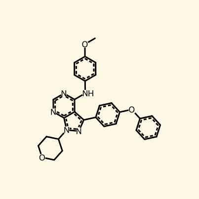 COc1ccc(Nc2ncnc3c2c(-c2ccc(Oc4ccccc4)cc2)nn3C2CCOCC2)cc1